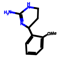 COc1ccccc1C1CCNC(N)=N1